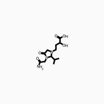 CC(C)C1N(CCC(O)C(=O)O)CC(=O)N1CC(N)=O